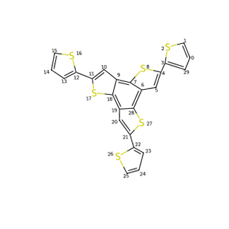 c1csc(-c2cc3c(s2)c2cc(-c4cccs4)sc2c2cc(-c4cccs4)sc32)c1